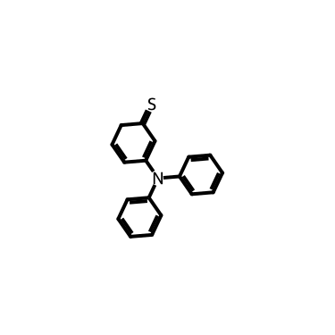 S=C1C=C(N(c2ccccc2)c2ccccc2)C=CC1